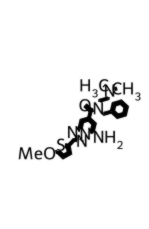 COc1ccc(-c2nc3cc(C(=O)N(CCN(C)C)Cc4ccccc4)cc(N)n3n2)s1